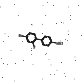 CCCCCCCCc1ccc(-c2ccc(CC)cc2F)cc1